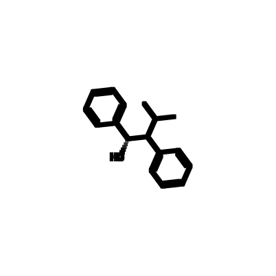 CC(C)C(c1ccccc1)[C@H](O)c1ccccc1